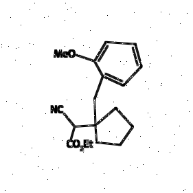 CCOC(=O)C(C#N)C1(Cc2ccccc2OC)CCCC1